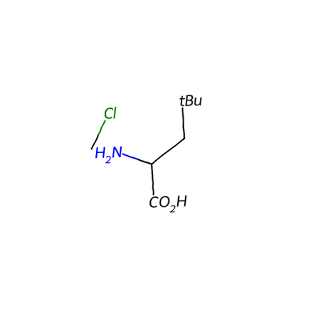 CC(C)(C)CC(N)C(=O)O.CCl